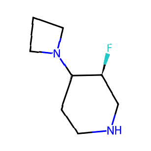 F[C@H]1CNCCC1N1CCC1